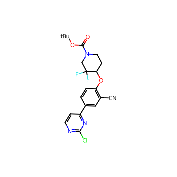 CC(C)(C)OC(=O)N1CCC(Oc2ccc(-c3ccnc(Cl)n3)cc2C#N)C(F)(F)C1